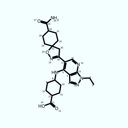 CCn1ncc2c(NC3CCC(C(=O)O)CC3)c(C3=NOC4(CCC(C(N)=O)CC4)C3)cnc21